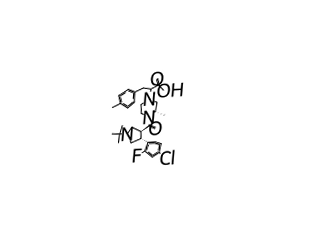 Cc1ccc(CC(C(=O)O)N2CCN(C(=O)[C@@H]3CN(C(C)(C)C)C[C@H]3c3ccc(Cl)cc3F)[C@@H](C)C2)cc1